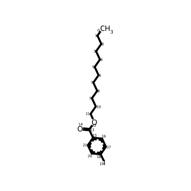 CCCCCCCCCCCCOC(=O)c1ccc(I)cc1